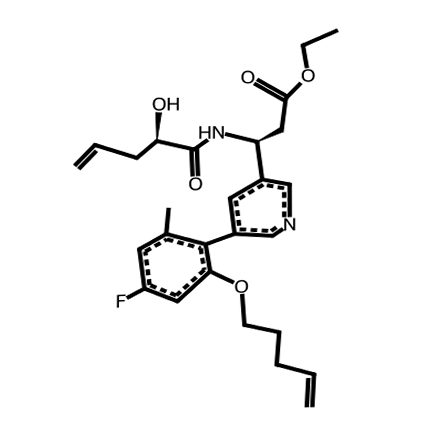 C=CCCCOc1cc(F)cc(C)c1-c1cncc([C@H](CC(=O)OCC)NC(=O)[C@H](O)CC=C)c1